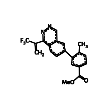 C=C(c1nncc2cc(-c3cc(C(=O)OC)ccc3C)ccc12)C(F)(F)F